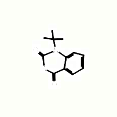 CC(C)(C)n1c(=O)sc(=O)c2ccccc21